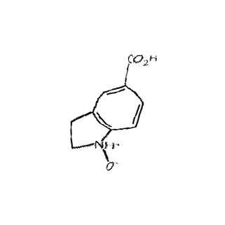 O=C(O)c1ccc2c(c1)CC[NH+]2[O-]